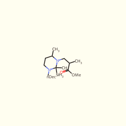 CCCCCCCCCCN1CCC(C)N(CC(C)C(=O)OC)C1(C)[SiH3]